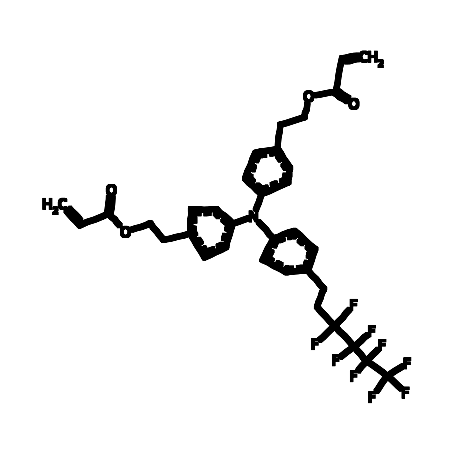 C=CC(=O)OCCc1ccc(N(c2ccc(CCOC(=O)C=C)cc2)c2ccc(CCC(F)(F)C(F)(F)C(F)(F)C(F)(F)F)cc2)cc1